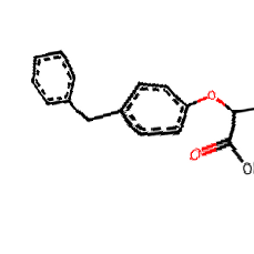 COC(=O)C(C)Oc1ccc(Cc2ccccc2)cc1